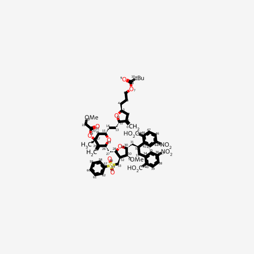 C=C1C[C@H](CCCOC(=O)C(C)(C)C)O[C@H]1CC[C@H]1C[C@@](C)(OC(=O)COC)C(=C)[C@@H](C[C@@H]2O[C@H](C[C@H](Cc3cc([N+](=O)[O-])ccc3C(=O)O)c3cc([N+](=O)[O-])ccc3C(=O)O)[C@H](OC)[C@H]2CS(=O)(=O)c2ccccc2)O1